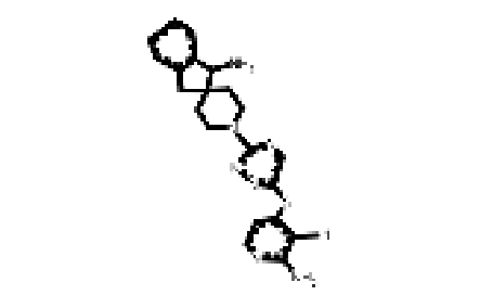 Nc1nccc(Sc2cnc(N3CCC4(CC3)Cc3ccccc3C4N)nn2)c1Cl